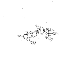 C[C@H]1CN(C2(C)CCN(C(=O)OC(C)(C)C)CC2)CCN1C1c2ccc(Br)cc2CC1O